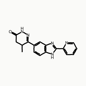 CC1CC(=O)NN=C1c1ccc2[nH]c(-c3ccccn3)nc2c1